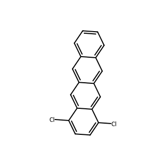 Clc1ccc(Cl)c2cc3cc4ccccc4cc3cc12